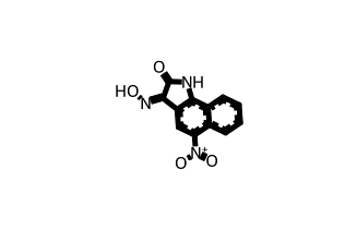 O=C1Nc2c(cc([N+](=O)[O-])c3ccccc23)/C1=N/O